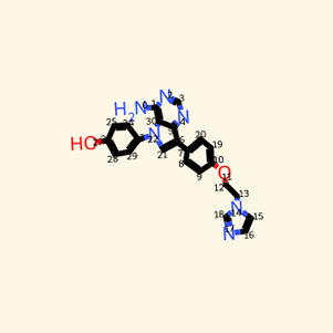 Nc1ncnc2c(-c3ccc(OCCn4ccnc4)cc3)cn(-c3ccc(O)cc3)c12